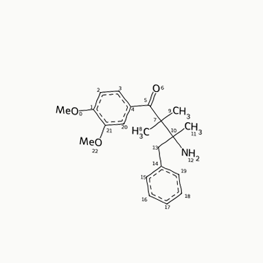 COc1ccc(C(=O)C(C)(C)C(C)(N)Cc2ccccc2)cc1OC